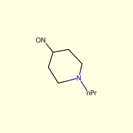 CCCN1CCC(N=O)CC1